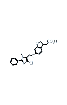 Cn1c(-c2ccccc2)nc(Cl)c1COc1ccc2c(c1)OCC2CC(=O)O